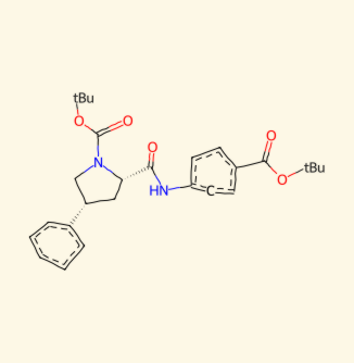 CC(C)(C)OC(=O)c1ccc(NC(=O)[C@@H]2C[C@H](c3ccccc3)CN2C(=O)OC(C)(C)C)cc1